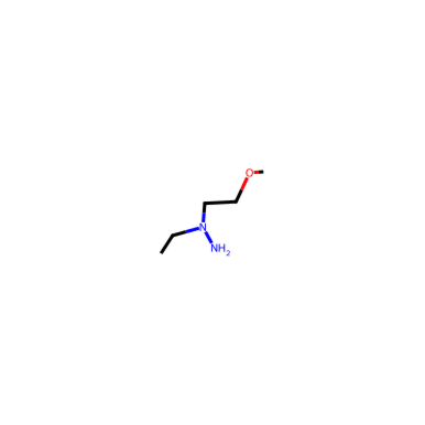 CCN(N)CCOC